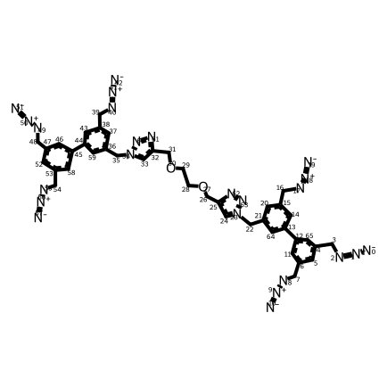 [N-]=[N+]=NCc1cc(CN=[N+]=[N-])cc(-c2cc(CN=[N+]=[N-])cc(Cn3cc(COCCOCc4cn(Cc5cc(CN=[N+]=[N-])cc(-c6cc(CN=[N+]=[N-])cc(CN=[N+]=[N-])c6)c5)nn4)nn3)c2)c1